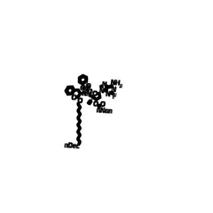 C#C[C@]1(COP(=O)(NC(Cc2ccccc2)C(=O)OCCCCCCCCCCCCCCCCCCCCCC)Oc2ccccc2)O[C@@H](n2cnc3c(N)nc(F)nc32)C[C@@H]1OC(=O)CCCCCCCCC